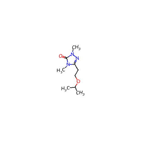 CC(C)OCCc1nn(C)c(=O)n1C